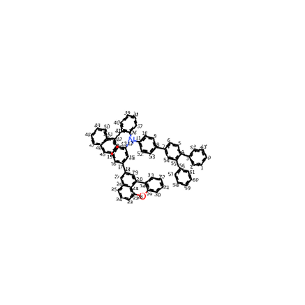 c1ccc(-c2ccc(-c3ccc(N(c4cccc(-c5cc6c7c(cccc7c5)Oc5ccccc5-6)c4)c4ccccc4-c4cccc5ccccc45)cc3)cc2-c2ccccc2)cc1